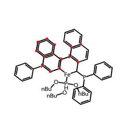 CCCCO[PH](OCCCC)(OCCCC)[Fe]([CH](CP(c1ccccc1)c1ccccc1)P(c1ccccc1)c1ccccc1)[CH](CP(c1ccccc1)c1ccccc1)P(c1ccccc1)c1ccccc1